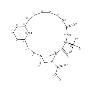 COC(=O)[C@@H]1C[C@@H]2CN1C(=O)[C@H](C(C)(C)C)NC(=O)OCCCCCC1CCCC(CO2)N1